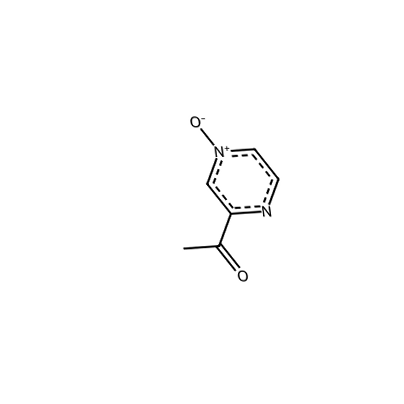 CC(=O)c1c[n+]([O-])ccn1